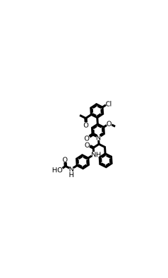 COc1cn(C(Cc2ccccc2)C(=O)Nc2ccc(NC(=O)O)cc2)c(=O)cc1-c1cc(Cl)ccc1C(C)=O